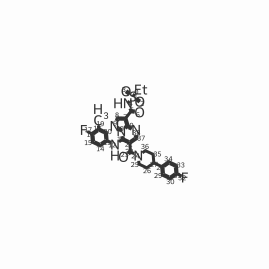 CCS(=O)(=O)NC(=O)c1cnn2c(Nc3ccc(F)c(C)c3)c(C(=O)N3CCC(c4ccc(F)cc4)CC3)cnc12